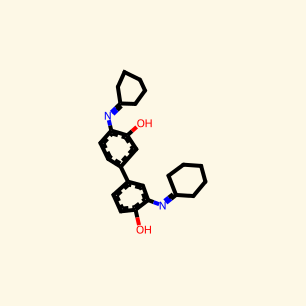 Oc1cc(-c2ccc(O)c(N=C3CCCCC3)c2)ccc1N=C1CCCCC1